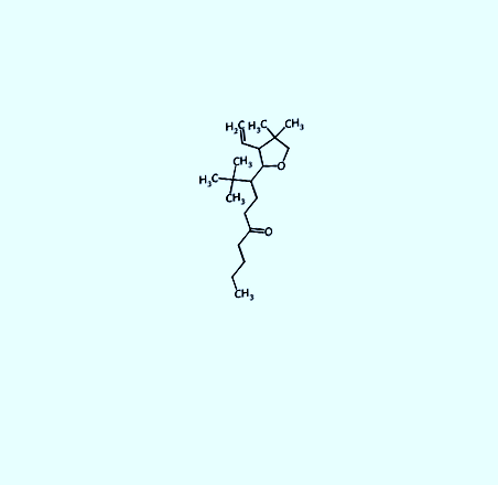 C=CC1C(C(CCC(=O)CCCC)C(C)(C)C)OCC1(C)C